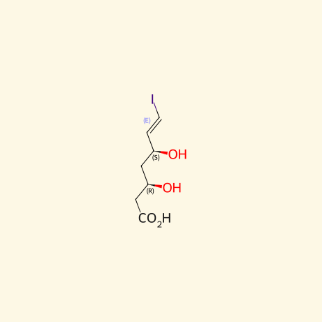 O=C(O)C[C@H](O)C[C@H](O)/C=C/I